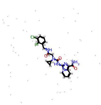 NC(=O)c1nc(NC(=O)N(CC(=O)NCc2cccc(Cl)c2F)C2CC2)n2ccccc12